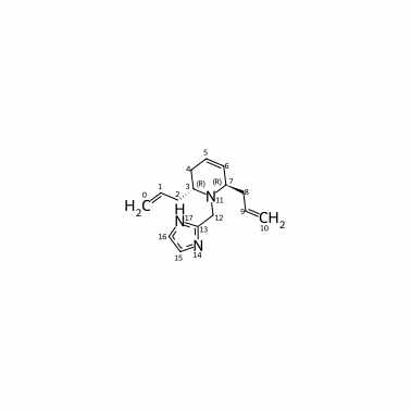 C=CC[C@@H]1CC=C[C@@H](CC=C)N1Cc1ncc[nH]1